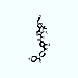 Cn1c(-c2cn(CC#N)nc2C(F)(F)F)cnc1C(=O)Nc1ccc(C(=O)N2CCN(C(=O)C3CCNCC3)CC2)c(Cl)c1